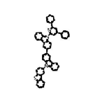 c1ccc(-c2cc(-c3ccccc3)nc(-n3c4ccccc4c4cc(-c5ccc6c(c5)c5ccccc5n6-c5ccc6sc7ccccc7c6c5)ccc43)c2)cc1